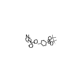 CC1(C)OB(c2ccc(COC(=O)n3ccnc3)cc2)OC1(C)C